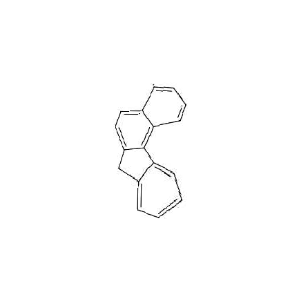 [c]1cccc2c3c(ccc12)Cc1ccccc1-3